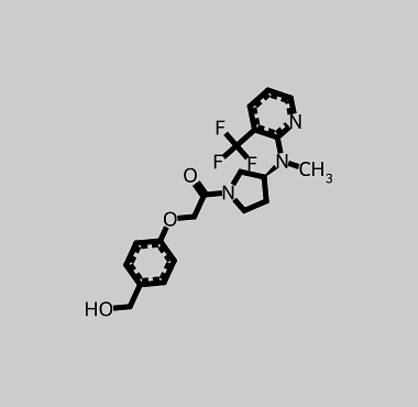 CN(c1ncccc1C(F)(F)F)[C@H]1CCN(C(=O)COc2ccc(CO)cc2)C1